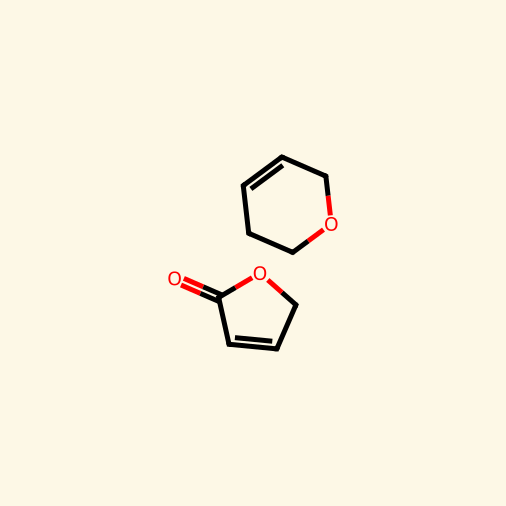 C1=CCOCC1.O=C1C=CCO1